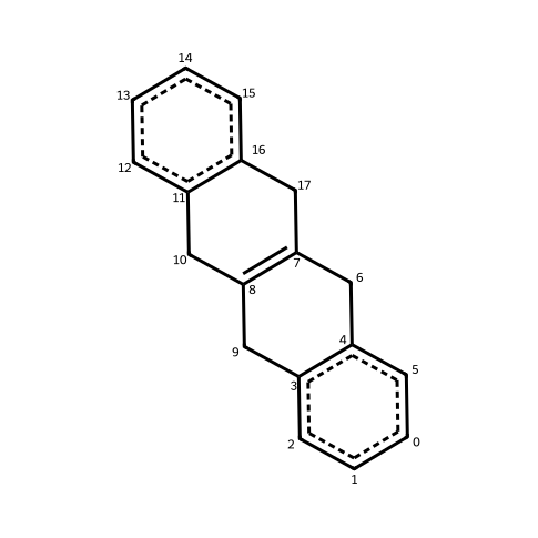 c1ccc2c(c1)CC1=C(C2)Cc2ccccc2C1